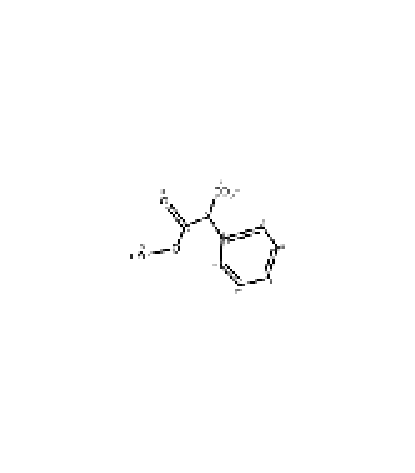 CCCOC(=O)C(C(=O)O)c1ccccc1